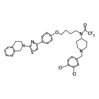 O=C(N(CCCCOc1ccc(-c2csc(N3CCc4ccccc4C3)n2)cc1)C1CCN(Cc2ccc(Cl)c(Cl)c2)CC1)C(F)(F)F